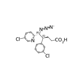 [N-]=[N+]=N[C@@H](c1ccc(Cl)cn1)[C@@H](CCC(=O)O)c1cccc(Cl)c1